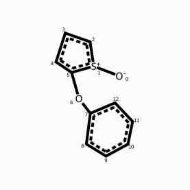 [O-][s+]1cccc1Oc1ccccc1